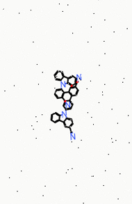 N#Cc1ccc(-c2ccc(-n3c4ccccc4c4cc(C#N)ccc43)cc2)c(-c2c(C#N)cccc2-n2c3ccccc3c3ccccc32)c1